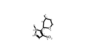 C[C@H]1CCO[C@@H](c2c([N+](=O)[O-])cnn2C)C1